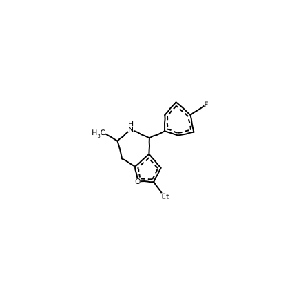 CCc1cc2c(o1)CC(C)NC2c1ccc(F)cc1